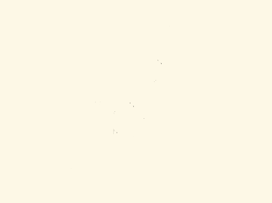 Cc1ccc(N2C(=O)N(CC(=O)Nc3c(C)cccc3Cl)C(=O)C23CCCCC3)cc1